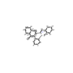 Cc1ccccc1-n1c(/C=C/c2ccccc2F)nc2cnccc2c1=O